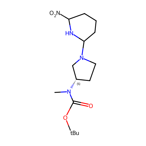 CN(C(=O)OC(C)(C)C)[C@H]1CCN(C2CCCC([N+](=O)[O-])N2)C1